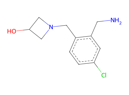 NCc1cc(Cl)ccc1CN1CC(O)C1